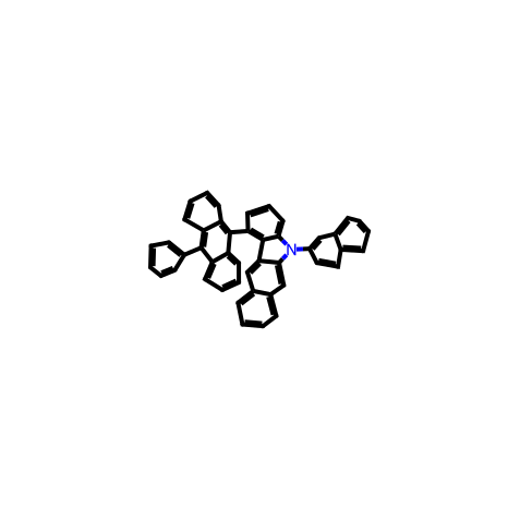 c1ccc(-c2c3ccccc3c(-c3cccc4c3c3cc5ccccc5cc3n4-c3ccc4ccccc4c3)c3ccccc23)cc1